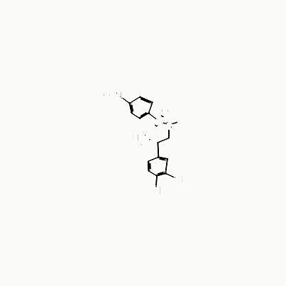 CN(C[C@@H](N)c1ccc(Cl)c(Cl)c1)S(=O)(=O)c1ccc([N+](=O)[O-])cc1